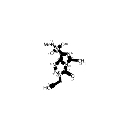 C#CCn1nnc2c(S(=O)(=O)NC)nc(C)n2c1=O